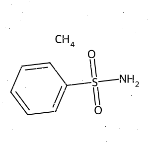 C.NS(=O)(=O)c1ccccc1